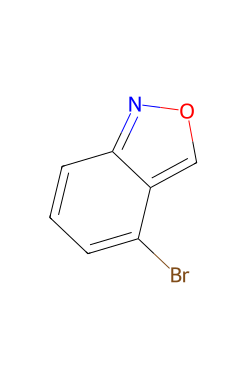 Brc1cccc2nocc12